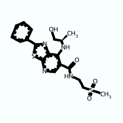 C[C@H](CO)Nc1c(C(=O)NCCS(C)(=O)=O)cnc2sc(-c3ccccc3)nc12